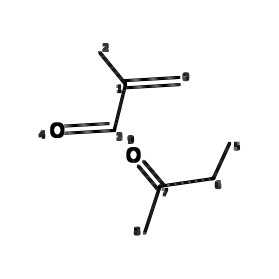 C=C(C)C=O.CCC(C)=O